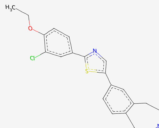 CCOc1ccc(-c2ncc(-c3ccc4c(c3)CCNCC4)s2)cc1Cl